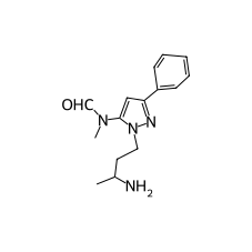 CC(N)CCn1nc(-c2ccccc2)cc1N(C)C=O